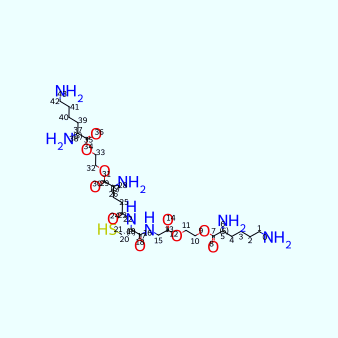 NCCCC[C@H](N)C(=O)OCCOC(=O)CNC(=O)[C@H](CS)NC(=O)CC[C@H](N)C(=O)OCCOC(=O)[C@@H](N)CCCCN